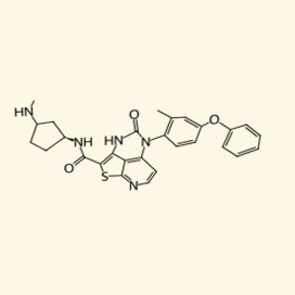 CNC1CC[C@H](NC(=O)c2sc3nccc4c3c2NC(=O)N4c2ccc(Oc3ccccc3)cc2C)C1